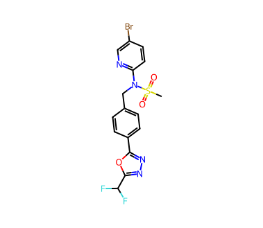 CS(=O)(=O)N(Cc1ccc(-c2nnc(C(F)F)o2)cc1)c1ccc(Br)cn1